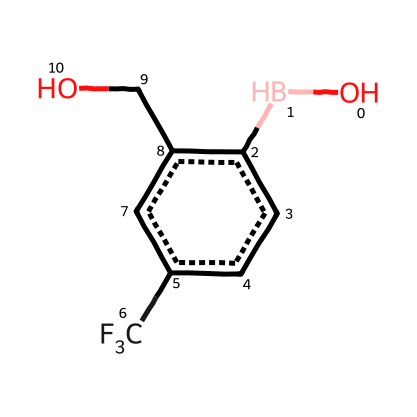 OBc1ccc(C(F)(F)F)cc1CO